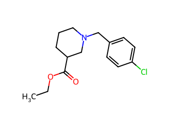 CCOC(=O)C1CCCN(Cc2ccc(Cl)cc2)C1